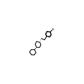 Brc1ccc(CC[C@H]2CC[C@H](C3CC[CH]CC3)CC2)cc1